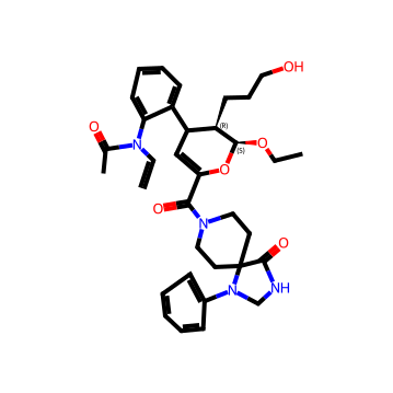 C=CN(C(C)=O)c1ccccc1C1C=C(C(=O)N2CCC3(CC2)C(=O)NCN3c2ccccc2)O[C@H](OCC)[C@@H]1CCCO